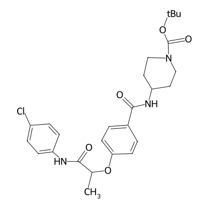 CC(Oc1ccc(C(=O)NC2CCN(C(=O)OC(C)(C)C)CC2)cc1)C(=O)Nc1ccc(Cl)cc1